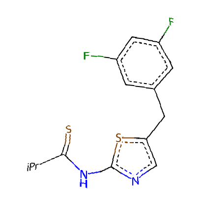 CC(C)C(=S)Nc1ncc(Cc2cc(F)cc(F)c2)s1